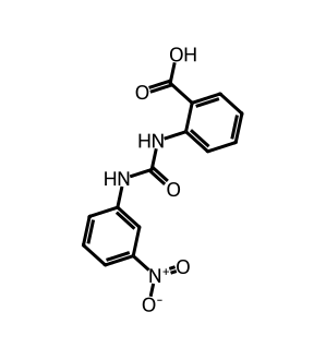 O=C(Nc1cccc([N+](=O)[O-])c1)Nc1ccccc1C(=O)O